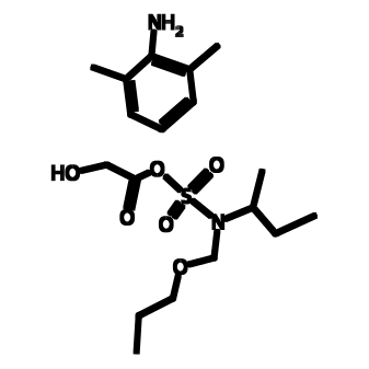 CCCOCN(C(C)CC)S(=O)(=O)OC(=O)CO.Cc1cccc(C)c1N